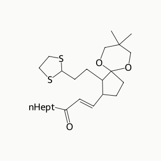 CCCCCCCC(=O)C=CC1CCC2(OCC(C)(C)CO2)C1CCC1SCCS1